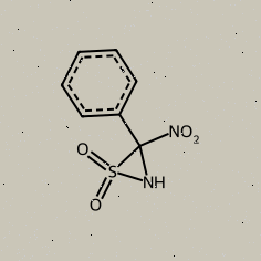 O=[N+]([O-])C1(c2ccccc2)NS1(=O)=O